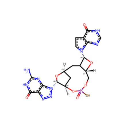 Nc1nc2c(nnn2[C@@H]2O[C@H]3CC4[C@H](n5ccc6c(=O)[nH]cnc65)O[C@@H]4COP(=O)(S)O[C@@H]2C3)c(=O)[nH]1